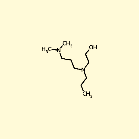 CCCN(CCO)CCCN(C)C